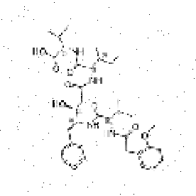 CC[C@H](C)[C@H](NC(=O)C[C@H](O)[C@H](Cc1ccccc1)NC(=O)[C@@H](NC(=O)Cc1ccccc1OC)C(C)C)C(=O)N[C@H](C(=O)O)C(C)C